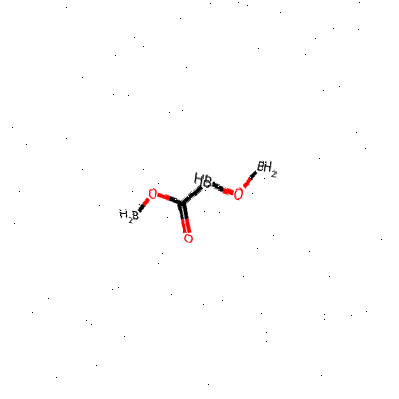 BOBC(=O)OB